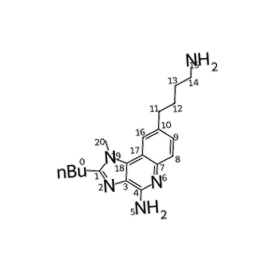 CCCCc1nc2c(N)nc3ccc(CCCCN)cc3c2n1C